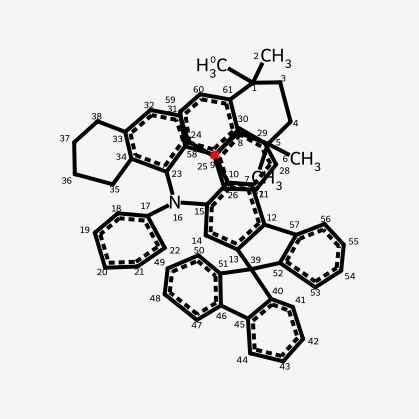 CC1(C)CCC(C)(C)c2c(-c3cc4c(cc3N(c3ccccc3)c3c(-c5ccccc5)ccc5c3CCCC5)C3(c5ccccc5-c5ccccc53)c3ccccc3-4)cccc21